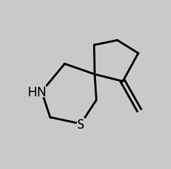 C=C1CCCC12CNCSC2